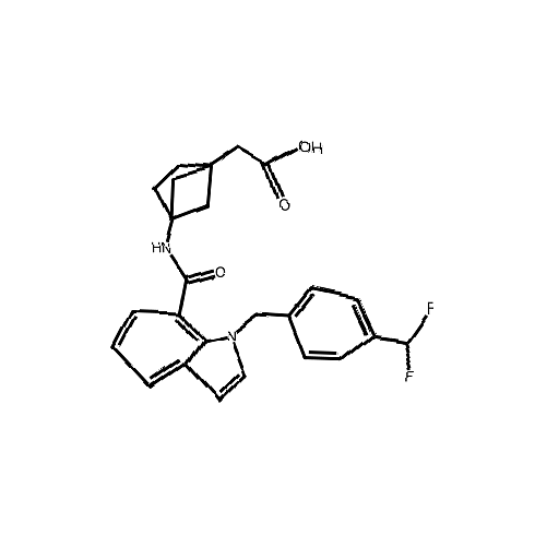 O=C(O)CC12CCC(NC(=O)c3cccc4ccn(Cc5ccc(C(F)F)cc5)c34)(C1)C2